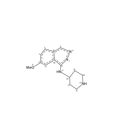 COc1ccc2cnnc(NC3CCNCC3)c2c1